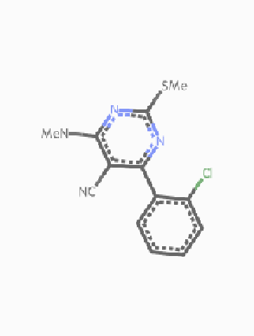 CNc1nc(SC)nc(-c2ccccc2Cl)c1C#N